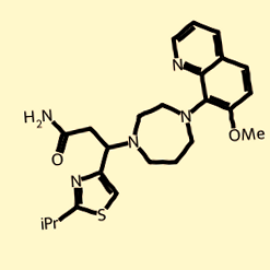 COc1ccc2cccnc2c1N1CCCN(C(CC(N)=O)c2csc(C(C)C)n2)CC1